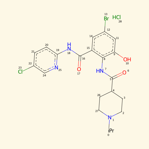 CC(C)N1CCC(C(=O)Nc2c(O)cc(Br)cc2C(=O)Nc2ccc(Cl)cn2)CC1.Cl